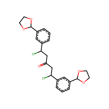 O=C(CC(Cl)c1cccc(C2OCCO2)c1)CC(Cl)c1cccc(C2OCCO2)c1